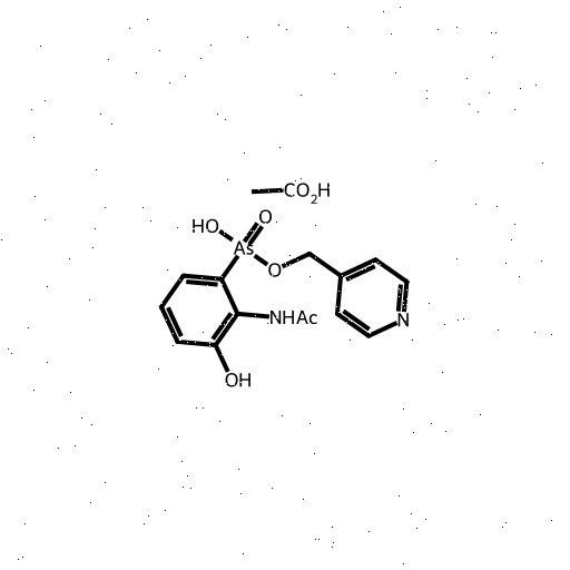 CC(=O)Nc1c(O)cccc1[As](=O)(O)OCc1ccncc1.CC(=O)O